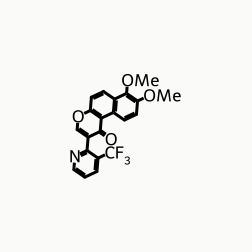 COc1ccc2c(ccc3occ(-c4ncccc4C(F)(F)F)c(=O)c32)c1OC